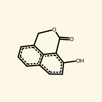 O=C1OCc2cccc3ccc(O)c1c23